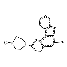 CN1CCN(c2ccc3cc(C#N)c4nc5ccccc5n4c3n2)CC1